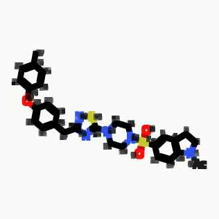 CC(=O)N1CCc2cc(S(=O)(=O)N3CCN(c4nc(Cc5ccc(Oc6ccc(C)cc6)cc5)ns4)CC3)ccc21